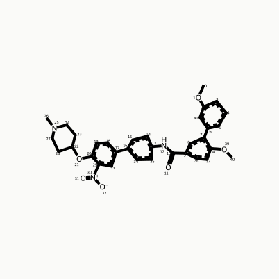 COc1cccc(-c2cc(C(=O)Nc3ccc(-c4ccc(OC5CCN(C)CC5)c([N+](=O)[O-])c4)cc3)ccc2OC)c1